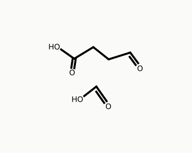 O=CCCC(=O)O.O=CO